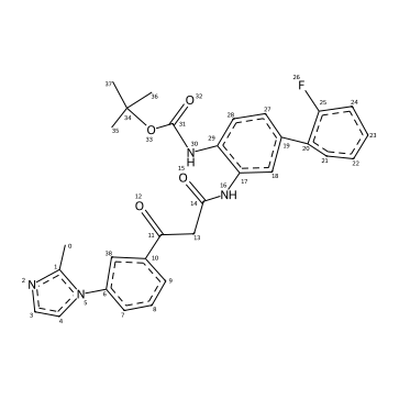 Cc1nccn1-c1cccc(C(=O)CC(=O)Nc2cc(-c3ccccc3F)ccc2NC(=O)OC(C)(C)C)c1